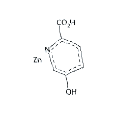 O=C(O)c1ccc(O)cn1.[Zn]